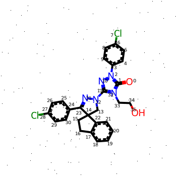 O=c1n(-c2ccc(Cl)cc2)nc(N2CC3(CCc4ccccc43)C(c3ccc(Cl)cc3)=N2)n1CCO